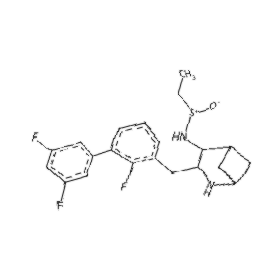 CC[S+]([O-])NC1C2CC(C2)NC1Cc1cccc(-c2cc(F)cc(F)c2)c1F